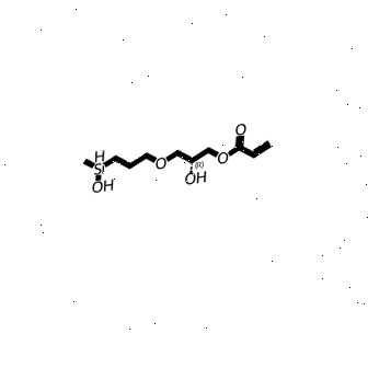 C=CC(=O)OC[C@H](O)COCCC[SiH](C)O